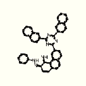 N=C1/C(=N\Nc2ccccc2)C=Cc2ccc3ccc(-c4nc(-c5ccc6ccccc6c5)nc(-c5ccc6ccccc6c5)n4)cc3c21